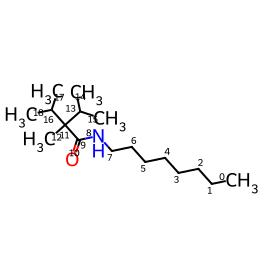 CCCCCCCCNC(=O)C(C)(C(C)C)C(C)C